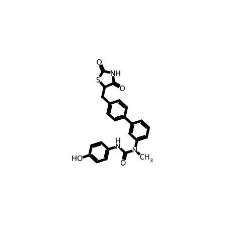 CN(C(=O)Nc1ccc(O)cc1)c1cccc(-c2ccc(CC3SC(=O)NC3=O)cc2)c1